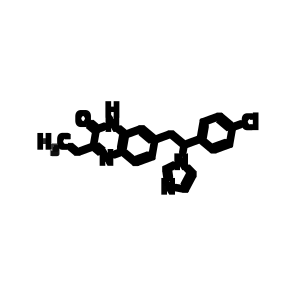 CCc1nc2ccc(CC(c3ccc(Cl)cc3)n3ccnc3)cc2[nH]c1=O